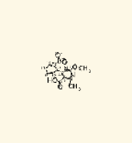 COc1nc(C)c(C(=O)O)c(-c2ccccc2[N+](=O)[O-])n1